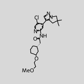 COCCO[C@H]1CCC[C@H](CC(=O)Nc2cc(-c3cnn4c3CC(C)(C)C4)c(Cl)cn2)C1